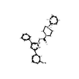 N#Cc1cccc(-c2cc(-c3ccccc3)n(CC(=O)N3CCN(c4ccccn4)CC3)n2)c1